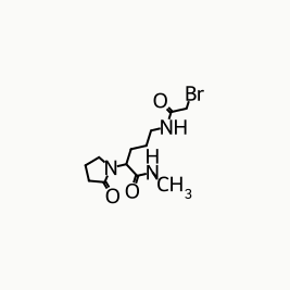 CNC(=O)C(CCCNC(=O)CBr)N1CCCC1=O